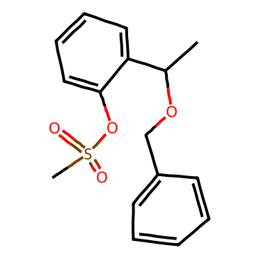 CC(OCc1ccccc1)c1ccccc1OS(C)(=O)=O